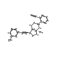 N#Cc1nccnc1N1CCN2[C@H](CC[C@H]2C#Cc2cccc(Cl)c2)C1